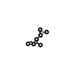 c1ccc(C2c3cc(-c4ccc5c(c4)c4ccccc4n5-c4ccccc4)ccc3-c3c2ccc2c3Cc3ccccc3-2)cc1